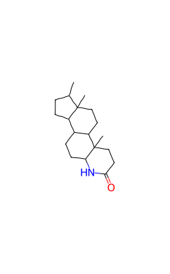 CC1CCC2C3CCC4NC(=O)CCC4(C)C3CCC12C